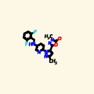 Cc1cc(-c2nn(C)c(=O)o2)n(-c2ccc(NCc3c(F)cccc3F)cn2)n1